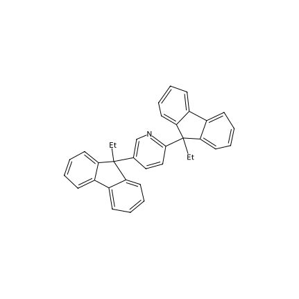 CCC1(c2ccc(C3(CC)c4ccccc4-c4ccccc43)nc2)c2ccccc2-c2ccccc21